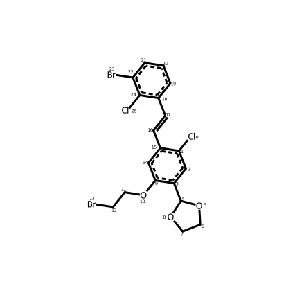 Clc1cc(C2OCCO2)c(OCCBr)cc1C=Cc1cccc(Br)c1Cl